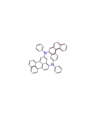 c1ccc(-c2ccc(N(c3ccccc3)c3cc(-c4ccccc4)c4c(-c5ccccc5)ccc(N(c5ccccc5)c5ccc(-c6ccccc6)cc5)c4c3)cc2)cc1